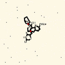 COc1ccc2cccc(C(O)CN3C4CCC3CC(NCc3ccc5c(n3)NC(=O)CS5)C4)c2n1